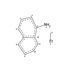 CCC.Nc1cccc2ccccc12